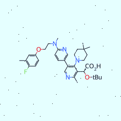 Cc1cc(OCCN(C)c2ccc(-c3cnc(C)c([C@H](OC(C)(C)C)C(=O)O)c3N3CCC(C)(C)CC3)cn2)ccc1F